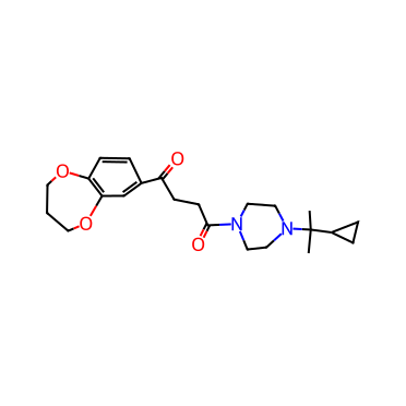 CC(C)(C1CC1)N1CCN(C(=O)CCC(=O)c2ccc3c(c2)OCCCO3)CC1